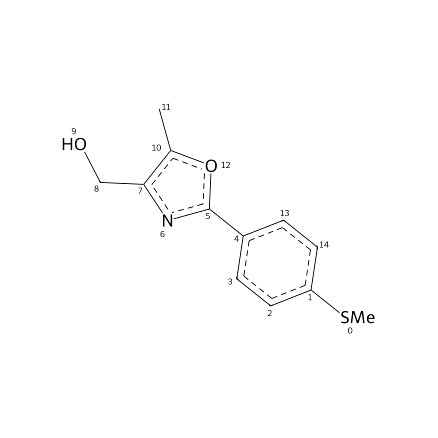 CSc1ccc(-c2nc(CO)c(C)o2)cc1